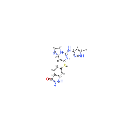 Cc1cc(Nc2nc(Sc3ccc4c(=O)[nH][nH]c4c3)cc3nccn23)n[nH]1